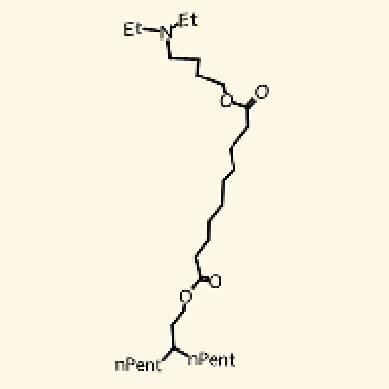 CCCCCC(CCCCC)CCOC(=O)CCCCCCCCC(=O)OCCCCN(CC)CC